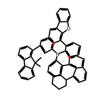 CC1(C)c2ccccc2-c2cccc(-c3cccc(N(c4ccccc4-c4cccc5c4oc4ccccc45)c4ccccc4-c4cccc5cccc(C6CCCCC6)c45)c3)c21